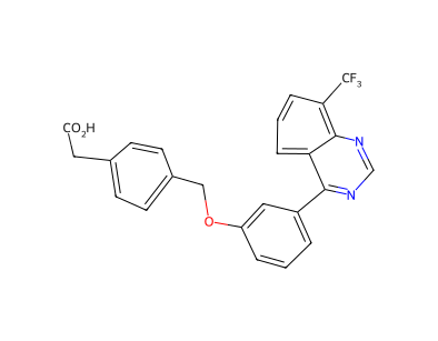 O=C(O)Cc1ccc(COc2cccc(-c3ncnc4c(C(F)(F)F)cccc34)c2)cc1